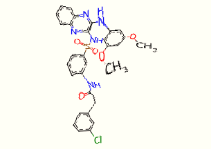 COc1cc(Nc2nc3ccccc3nc2NS(=O)(=O)c2cccc(NC(=O)Cc3cccc(Cl)c3)c2)cc(OC)c1